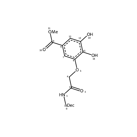 CCCCCCCCCCNC(=O)COc1cc(C(=O)OC)cc(O)c1O